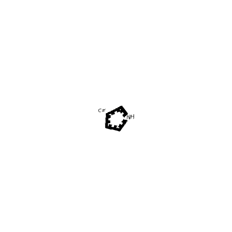 [Ca].c1cc[nH]c1